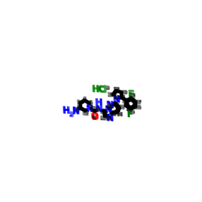 Cl.NC1CCCN(C(=O)Nc2cnc3ccc(N4CCCC4c4cc(F)ccc4F)nn23)C1